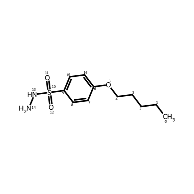 CCCCCOc1ccc(S(=O)(=O)NN)cc1